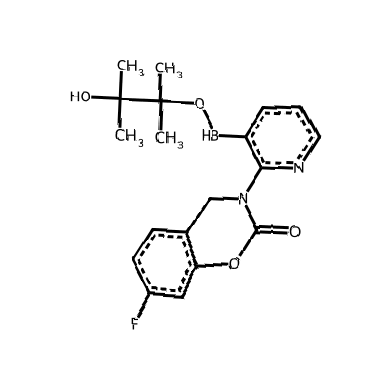 CC(C)(O)C(C)(C)OBc1cccnc1N1Cc2ccc(F)cc2OC1=O